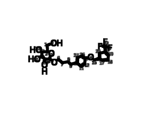 OCC1OC(OCCCCc2ccc(OCc3cccc(C(F)(F)F)c3)cc2)C(O)C(O)C1O